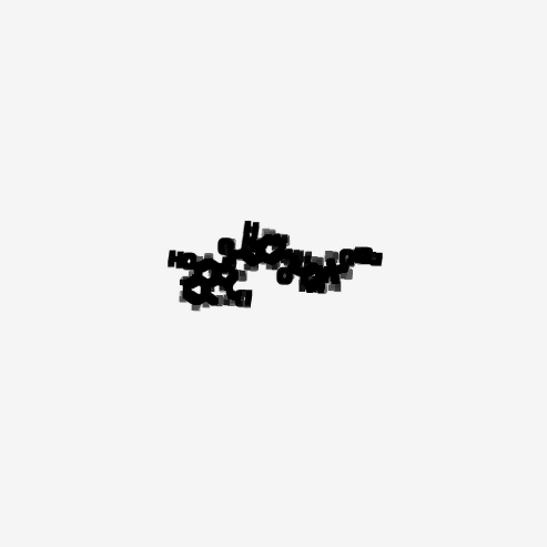 Cc1cccc2c(O)cc3c(c12)[C@H](CCl)CN3C(=O)c1cc2cc(NC(=O)c3cn(C(C)(C)COC(C)(C)C)nn3)ncc2[nH]1